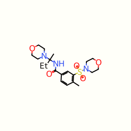 CCC(C)(NC(=O)c1ccc(C)c(S(=O)(=O)N2CCOCC2)c1)N1CCOCC1